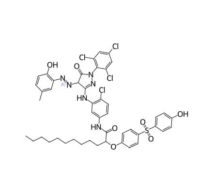 CCCCCCCCCCC(Oc1ccc(S(=O)(=O)c2ccc(O)cc2)cc1)C(=O)Nc1ccc(Cl)c(NC2=NN(c3c(Cl)cc(Cl)cc3Cl)C(=O)C2/N=N/c2cc(C)ccc2O)c1